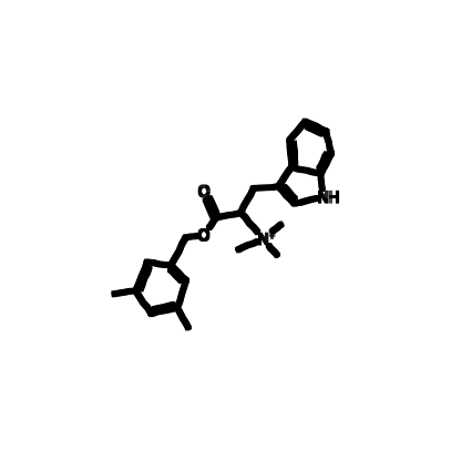 Cc1cc(C)cc(COC(=O)C(Cc2c[nH]c3ccccc23)[N+](C)(C)C)c1